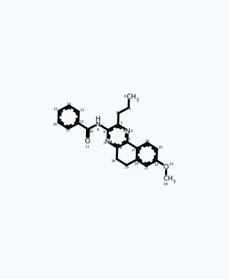 CCCc1nc2c(nc1NC(=O)c1ccccc1)CCc1cc(OC)ccc1-2